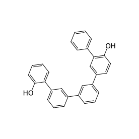 Oc1ccccc1-c1cccc(-c2cccc(-c3ccc(O)c(-c4ccccc4)c3)c2)c1